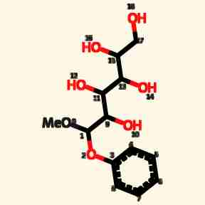 COC(Oc1ccccc1)C(O)C(O)C(O)C(O)CO